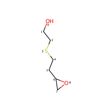 OCCSCCC1CO1